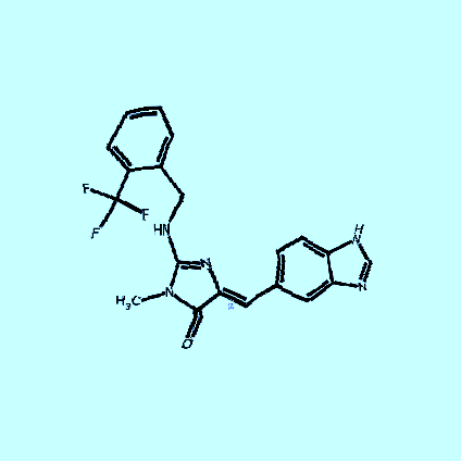 CN1C(=O)/C(=C/c2ccc3[nH]cnc3c2)N=C1NCc1ccccc1C(F)(F)F